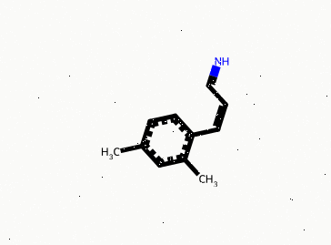 Cc1ccc(/C=C\C=N)c(C)c1